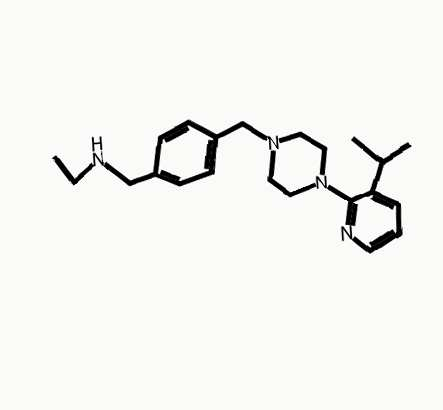 CCNCc1ccc(CN2CCN(c3ncccc3C(C)C)CC2)cc1